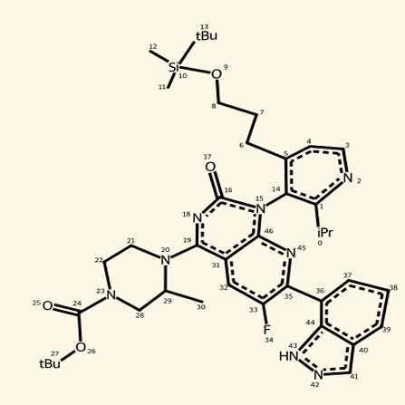 CC(C)c1nccc(CCCO[Si](C)(C)C(C)(C)C)c1-n1c(=O)nc(N2CCN(C(=O)OC(C)(C)C)CC2C)c2cc(F)c(-c3cccc4cn[nH]c34)nc21